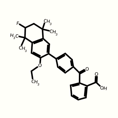 CCOc1cc2c(cc1-c1ccc(C(=O)c3ccccc3C(=O)O)cc1)C(C)(C)CC(F)C2(C)C